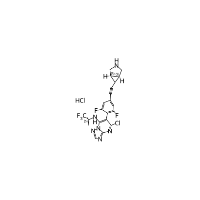 C[C@H](Nc1c(-c2c(F)cc(C#CC3[C@H]4CNC[C@@H]34)cc2F)c(Cl)nc2ncnn12)C(F)(F)F.Cl